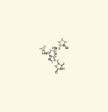 C=c1[nH]c(=O)s/c1=C\c1cnn2c(NC3CC3)cc(NCC3CCCN3CC)nc12